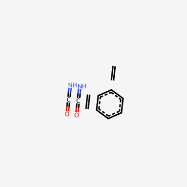 C=C.C=C.N=C=O.N=C=O.c1ccccc1